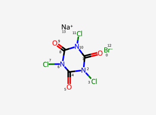 O=c1n(Cl)c(=O)n(Cl)c(=O)n1Cl.[Br-].[Na+]